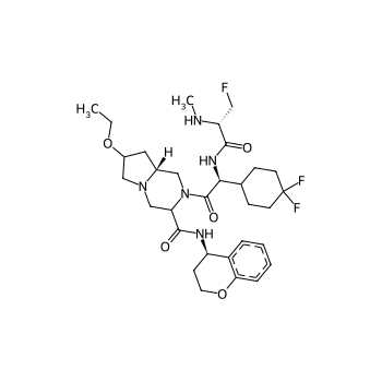 CCOC1C[C@@H]2CN(C(=O)[C@@H](NC(=O)[C@@H](CF)NC)C3CCC(F)(F)CC3)C(C(=O)N[C@@H]3CCOc4ccccc43)CN2C1